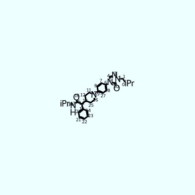 CC(C)Cn1ncn(-c2ccc(N3CCC(C(C(=O)NC(C)C)c4ccccc4)CC3)cc2)c1=O